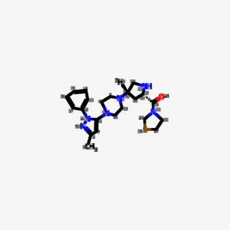 [2H][C@@]1(N2CCN(c3cc(C)nn3-c3ccccc3)CC2)CN[C@H](C(=O)N2CCSC2)C1